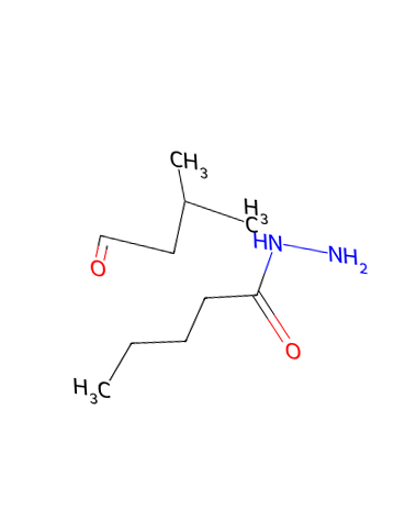 CC(C)CC=O.CCCCC(=O)NN